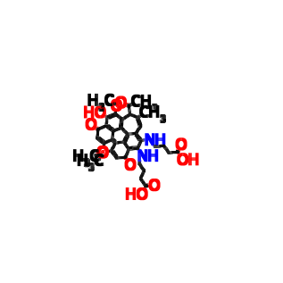 COc1c(O)c2c(=O)cc(OC)c3c4c(OC)cc(=O)c5c(NCCCC(=O)O)c(NCCCC(=O)O)c6c(c(c1C(C(C)=O)C(C)=C6)c23)c54